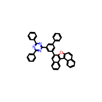 c1ccc(-c2cc(-c3nc(-c4ccccc4)nc(-c4ccccc4)n3)cc(-c3cc4ccccc4c4c3oc3ccc5ccccc5c34)c2)cc1